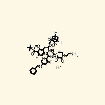 COc1c(C[C@H](NC(=O)C(NC(=O)N2CCN(CCN)C(=O)C2=O)c2ncc(OCc3ccccc3)cc2F)B2O[C@@H]3C[C@@H]4C[C@@H](C4(C)C)[C@]3(C)O2)ccc(F)c1C(=O)OC(C)(C)C.[H+]